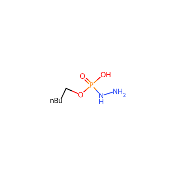 CCCCCOP(=O)(O)NN